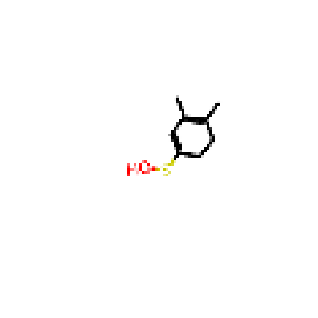 CC1=C(C)CCC(SO)=C1